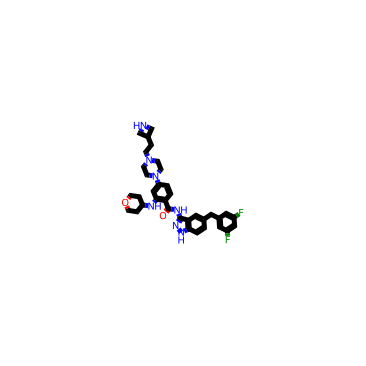 O=C(Nc1n[nH]c2ccc(Cc3cc(F)cc(F)c3)cc12)c1ccc(N2CCN(CCC3CNC3)CC2)cc1NC1CCOCC1